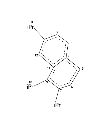 CC(C)c1ccc2ccc(C(C)C)c(C(C)C)c2c1